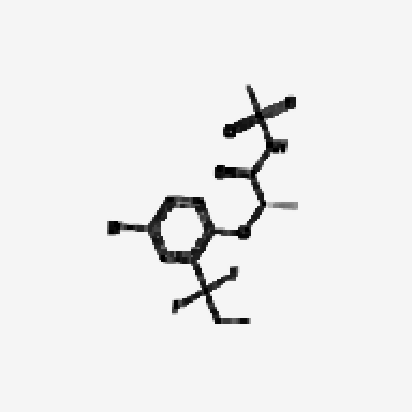 CCC(F)(F)c1cc(Br)ccc1O[C@@H](C)C(=O)NS(C)(=O)=O